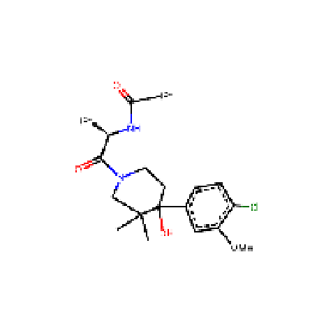 COc1cc(C2(O)CCN(C(=O)[C@H](NC(=O)C(C)C)C(C)C)CC2(C)C)ccc1Cl